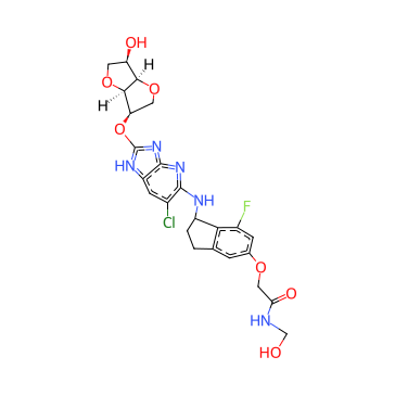 O=C(COc1cc(F)c2c(c1)CCC2Nc1nc2nc(O[C@@H]3CO[C@H]4[C@@H]3OC[C@H]4O)[nH]c2cc1Cl)NCO